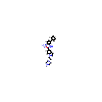 CN1CCN(CCn2ccc3cc(C(=O)Nc4cc(-c5ccccc5)ccc4N)ccc32)CC1